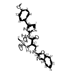 COc1ccc(-c2csc(NC(=O)C(CNc3nc4ccccc4o3)NS(C)(=O)=O)n2)cc1